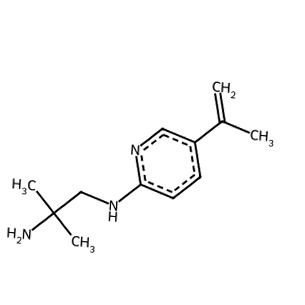 C=C(C)c1ccc(NCC(C)(C)N)nc1